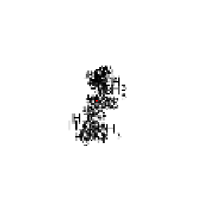 Cc1c(-c2ccc3c(c2)C(c2ccccc2)(c2ccccc2)c2c-3c3ccccc3c3cc(-c4cc5c(c(C)c4C)N(c4ccccc4)C4(C)CCCCC54C)ccc23)cc2c(c1C)N(c1ccccc1)C1(C)CCCCC21C